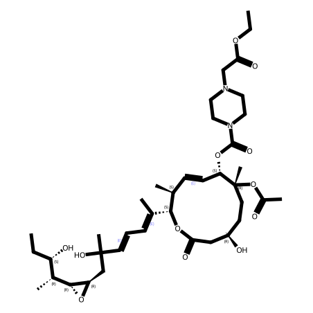 CCOC(=O)CN1CCN(C(=O)O[C@H]2/C=C/[C@H](C)[C@@H](/C(C)=C/C=C/C(C)(O)C[C@H]3O[C@@H]3[C@H](C)[C@@H](O)CC)OC(=O)C[C@H](O)CC[C@@]2(C)OC(C)=O)CC1